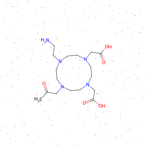 CC(=O)CN1CCN(CCN)CCN(CC(=O)O)CCN(CC(=O)O)CC1